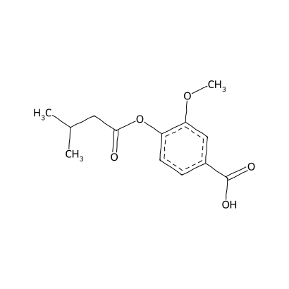 COc1cc(C(=O)O)ccc1OC(=O)CC(C)C